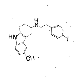 Oc1ccc2[nH]c3c(c2c1)CC(NCCc1ccc(F)cc1)CC3